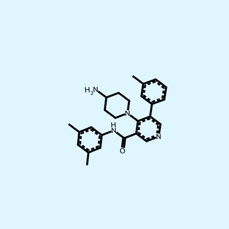 Cc1cc(C)cc(NC(=O)c2cncc(-c3cccc(C)c3)c2N2CCC(N)CC2)c1